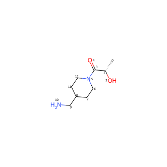 C[C@H](O)C(=O)N1CCC(CN)CC1